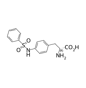 N[C@H](Cc1ccc(NS(=O)(=O)c2ccccc2)cc1)C(=O)O